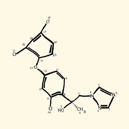 C[C@@](O)(Cn1cncn1)c1ccc(Oc2ccc(Cl)cc2Cl)cc1Cl